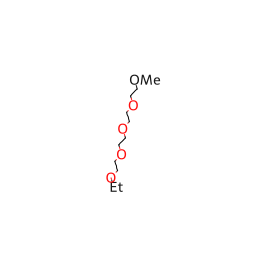 [CH2]COCCOCCOCCOCCOC